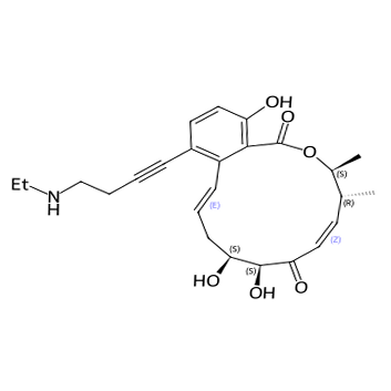 CCNCCC#Cc1ccc(O)c2c1/C=C/C[C@H](O)[C@H](O)C(=O)/C=C\[C@@H](C)[C@H](C)OC2=O